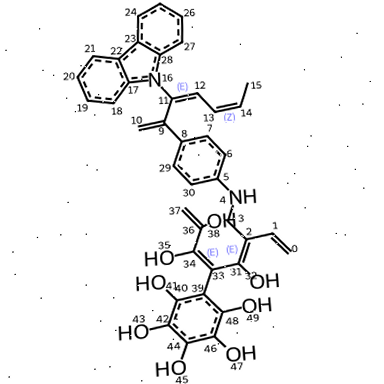 C=C/C(CNc1ccc(C(=C)/C(=C\C=C/C)n2c3ccccc3c3ccccc32)cc1)=C(O)/C(=C(/O)C(=C)O)c1c(O)c(O)c(O)c(O)c1O